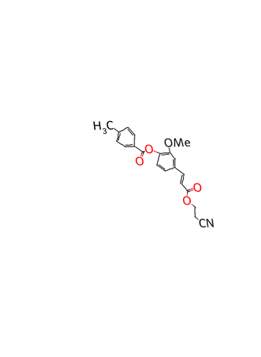 COc1cc(/C=C/C(=O)OCCC#N)ccc1OC(=O)c1ccc(C)cc1